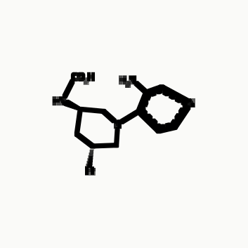 CC[C@@H]1C[C@@H](NC(=O)O)CN(c2ccncc2N)C1